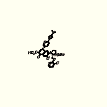 CO[C@H]1CCN(c2cc3c(cc2Cl)c(=O)c(C(=O)O)cn3-c2ccc(N3CC(N(C)C)C3)nc2)[C@H]1COc1ncccc1Cl